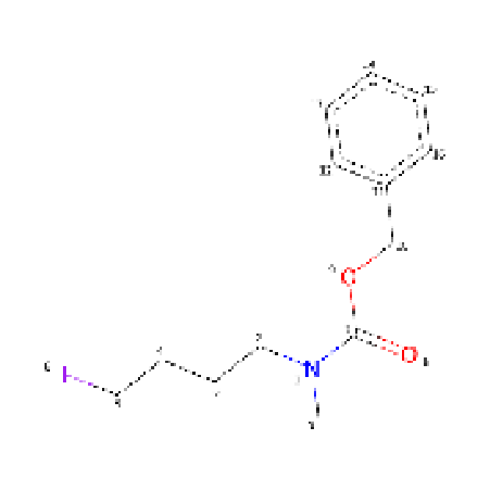 CN(CCCCI)C(=O)OCc1ccccc1